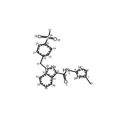 Cc1csc(NC(=O)c2nn(Cc3ccc(S(C)(=O)=O)cc3)c3ccccc23)n1